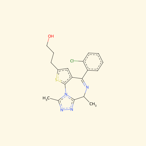 Cc1nnc2n1-c1sc(CCCO)cc1C(c1ccccc1Cl)=NC2C